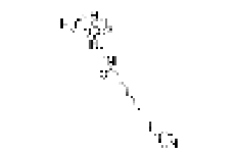 CC(C)(C)OC(=O)NCCNC(=O)CCCCCCCCCCc1ccncc1